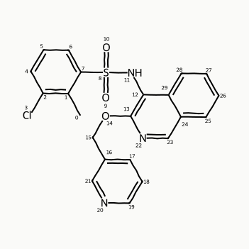 Cc1c(Cl)cccc1S(=O)(=O)Nc1c(OCc2cccnc2)ncc2ccccc12